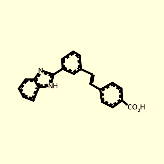 O=C(O)c1ccc(C=Cc2cccc(-c3nc4ccccc4[nH]3)c2)cc1